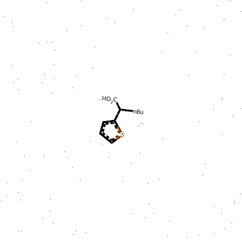 CCCCC(C(=O)O)c1cccs1